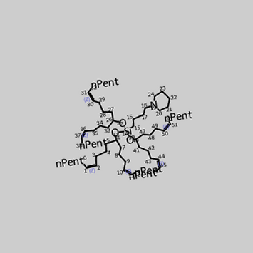 CCCCC/C=C\CCCC(CCC/C=C\CCCCC)O[Si](CCCCN1CCCCC1)(OC(CCC/C=C\CCCCC)CCC/C=C\CCCCC)OC(CCC/C=C\CCCCC)CCC/C=C\CCCCC